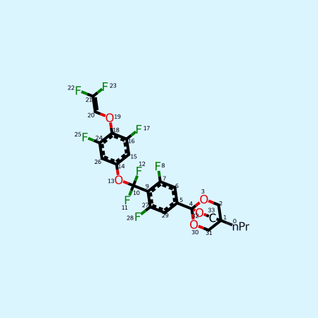 CCCC12COC(c3cc(F)c(C(F)(F)Oc4cc(F)c(OC=C(F)F)c(F)c4)c(F)c3)(OC1)OC2